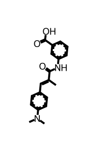 C/C(=C\c1ccc(N(C)C)cc1)C(=O)Nc1cccc(C(=O)O)c1